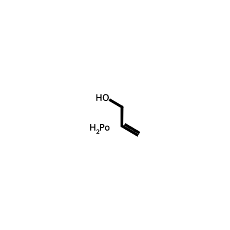 C=CCO.[PoH2]